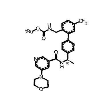 C[C@@H](NC(=O)c1cncc(N2CCOCC2)c1)c1ccc(-c2cc(C(F)(F)F)ccc2CNC(=O)OC(C)(C)C)cc1